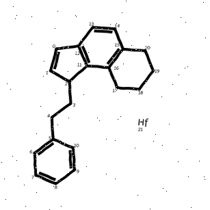 C1=CC(CCc2ccccc2)c2c1ccc1c2CCCC1.[Hf]